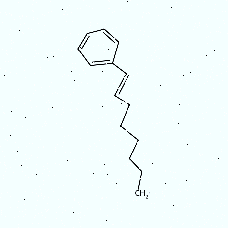 [CH2]CCCCCC=Cc1ccccc1